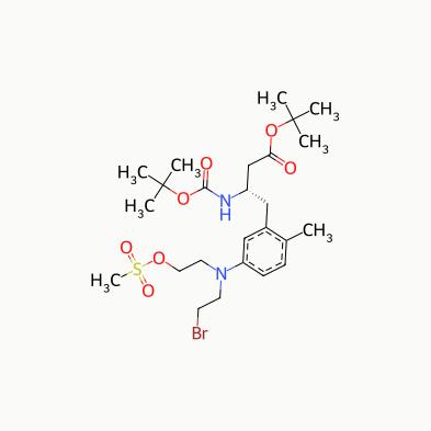 Cc1ccc(N(CCBr)CCOS(C)(=O)=O)cc1C[C@@H](CC(=O)OC(C)(C)C)NC(=O)OC(C)(C)C